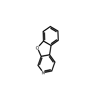 c1ccc2c(c1)oc1cnccc12